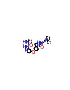 CCNC(=O)Nc1cc(Oc2ccc3c(ccn3C(=O)NCCN(CC)CC)c2)ccn1